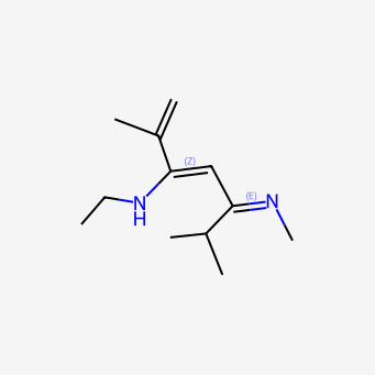 C=C(C)/C(=C/C(=N/C)C(C)C)NCC